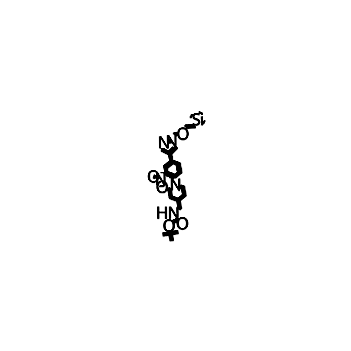 CC(C)(C)OC(=O)NCC1CCN(c2ccc(-c3cnn(COCC[Si](C)(C)C)c3)cc2[N+](=O)[O-])CC1